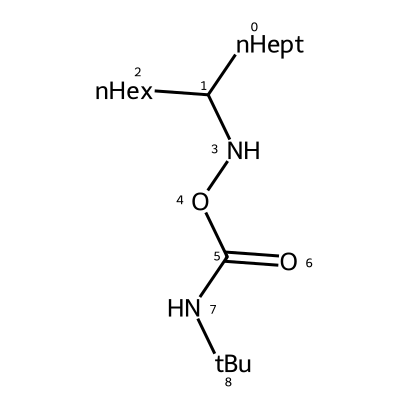 CCCCCCCC(CCCCCC)NOC(=O)NC(C)(C)C